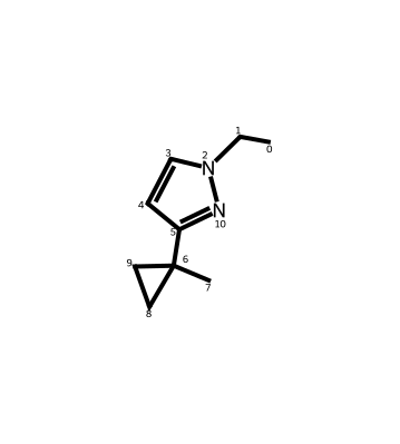 CCn1ccc(C2(C)CC2)n1